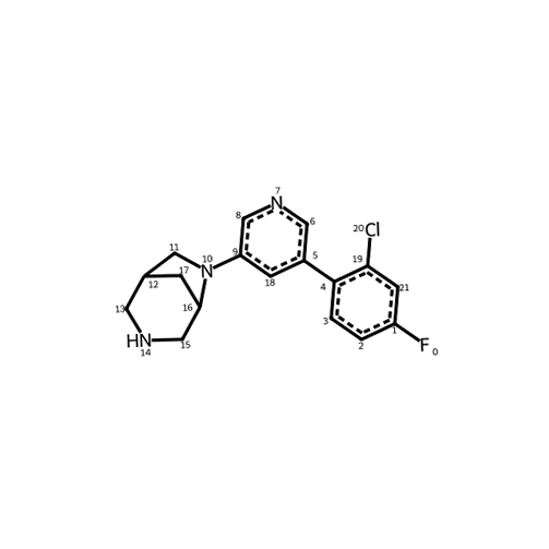 Fc1ccc(-c2cncc(N3CC4CNCC3C4)c2)c(Cl)c1